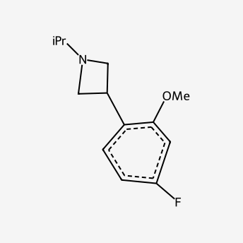 COc1cc(F)ccc1C1CN(C(C)C)C1